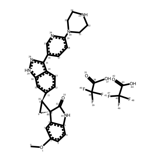 COc1ccc2c(c1)[C@]1(C[C@H]1c1ccc3c(-c4ccc(N5CCNCC5)nc4)n[nH]c3c1)C(=O)N2.O=C(O)C(F)(F)F.O=C(O)C(F)(F)F